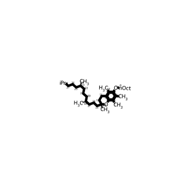 CCCCCCCCOc1c(C)c(C)c2c(c1C)CC[C@@](C)(CCC[C@H](C)CCC[C@H](C)CCCC(C)C)O2